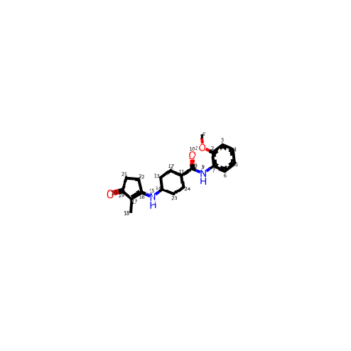 COc1ccccc1NC(=O)C1CCC(NC2=C(C)C(=O)CC2)CC1